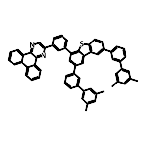 Cc1cc(C)cc(-c2cccc(-c3ccc4sc5c(-c6cccc(-c7cnc8c9ccccc9c9ccccc9c8n7)c6)cc(-c6cccc(-c7cc(C)cc(C)c7)c6)cc5c4c3)c2)c1